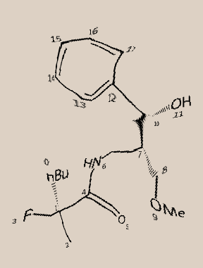 CCCC[C@](C)(F)C(=O)N[C@@H](COC)[C@@H](O)c1ccccc1